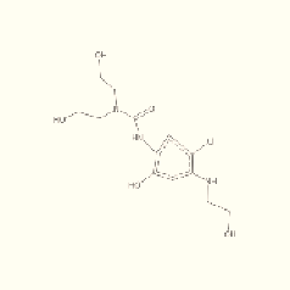 O=C(Nc1cc(Cl)c(NCCO)cc1O)N(CCO)CCO